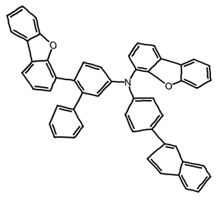 c1ccc(-c2cc(N(c3ccc(-c4ccc5ccccc5c4)cc3)c3cccc4c3oc3ccccc34)ccc2-c2cccc3c2oc2ccccc23)cc1